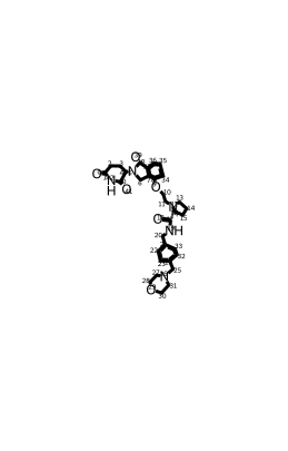 O=C1CCC(N2Cc3c(OCCN4CCC[C@@H]4C(=O)NCc4ccc(CN5CCOCC5)cc4)cccc3C2=O)C(=O)N1